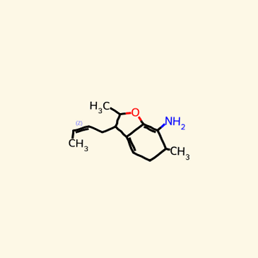 C/C=C\CC1C2=CCC(C)C(N)=C2OC1C